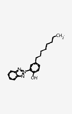 [CH2]CCCCCCCc1ccc(O)c(-n2nc3ccccc3n2)c1